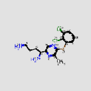 Cc1nc(C(N)CCCN)cnc1Sc1cccc(Cl)c1Cl